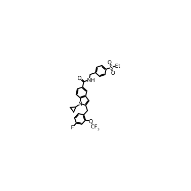 CCS(=O)(=O)c1ccc(CNC(=O)c2ccc3c(c2)cc(Cc2ccc(F)cc2OC(F)(F)F)n3C2CC2)cc1